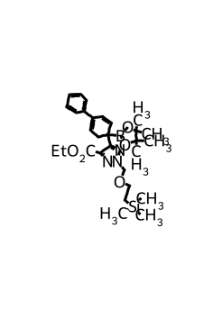 CCOC(=O)c1nn(COCC[Si](C)(C)C)nc1C1(B2OC(C)(C)C(C)(C)O2)C=CC(c2ccccc2)=CC1